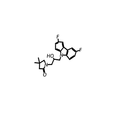 CC1(C)CC(=O)N(CC(O)Cn2c3ccc(F)cc3c3cc(F)ccc32)C1